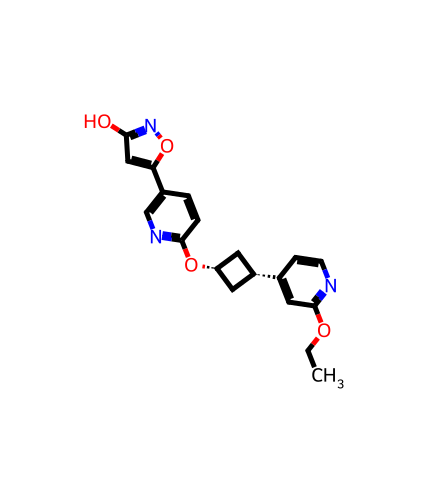 CCOc1cc([C@H]2C[C@@H](Oc3ccc(-c4cc(O)no4)cn3)C2)ccn1